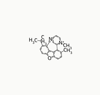 Cc1ccc2oc3ccc(C(C)C)c(C#N)c3c2c1-c1cccc[n+]1C